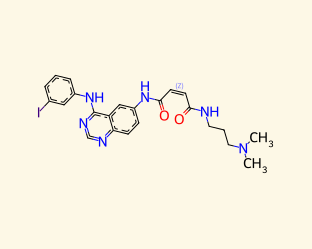 CN(C)CCCNC(=O)/C=C\C(=O)Nc1ccc2ncnc(Nc3cccc(I)c3)c2c1